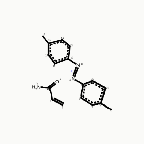 C=CC(N)=O.Cc1ccc(/N=N/c2ccc(C)cc2)cc1